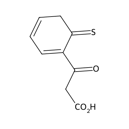 O=C(O)CC(=O)C1=CC=CCC1=S